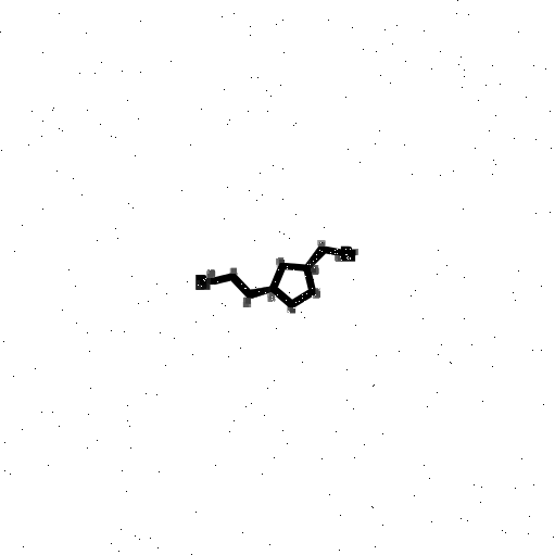 BrCC[C@@H]1CC[C@H](CBr)C1